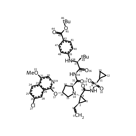 C=C[C@@H]1C[C@@]1(C(=O)NS(=O)(=O)C1CC1)N1C[C@H](Oc2ncc(OC)c3ccc(Cl)cc23)C[C@H]1C(=O)NC(=O)[C@@H](Nc1ccc(C(=O)OC(C)(C)C)cc1)C(C)(C)C